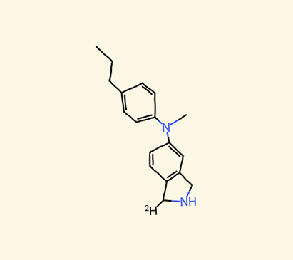 [2H]C1NCc2cc(N(C)c3ccc(CCC)cc3)ccc21